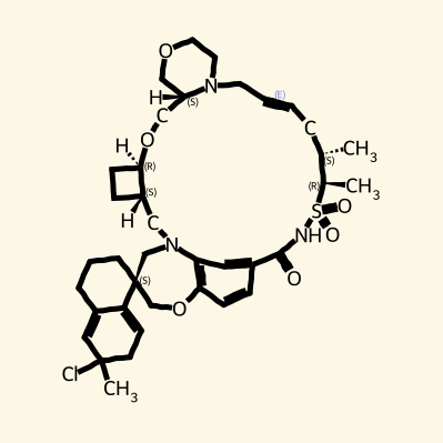 C[C@@H]1[C@@H](C)C/C=C/CN2CCOC[C@H]2CO[C@@H]2CC[C@H]2CN2C[C@@]3(CCCC4=CC(C)(Cl)CC=C43)COc3ccc(cc32)C(=O)NS1(=O)=O